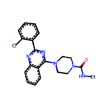 CCNC(=O)N1CCN(c2nc(-c3ccccc3Cl)nc3ccccc23)CC1